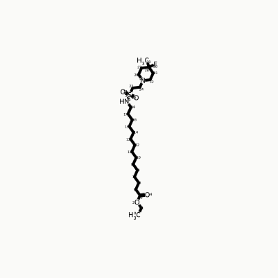 CCOC(=O)CCCCCCCCCCCCCCNS(=O)(=O)CCN1CCC(C)(F)CC1